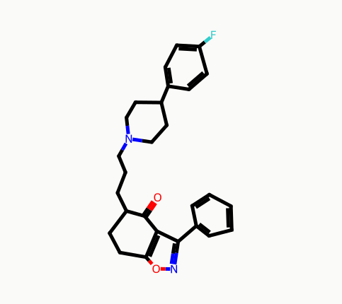 O=C1c2c(-c3ccccc3)noc2CCC1CCCN1CCC(c2ccc(F)cc2)CC1